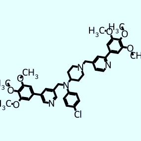 COc1cc(-c2cncc(CN(c3ccc(Cl)cc3)C3CCN(Cc4ccnc(-c5cc(OC)c(OC)c(OC)c5)c4)CC3)c2)cc(OC)c1OC